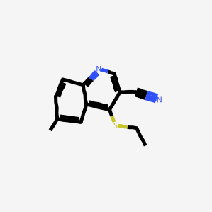 CCSc1c(C#N)cnc2ccc(C)cc12